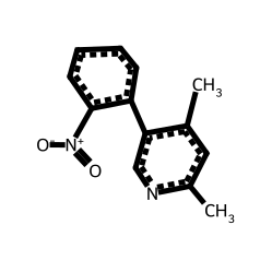 Cc1cc(C)c(-c2ccccc2[N+](=O)[O-])cn1